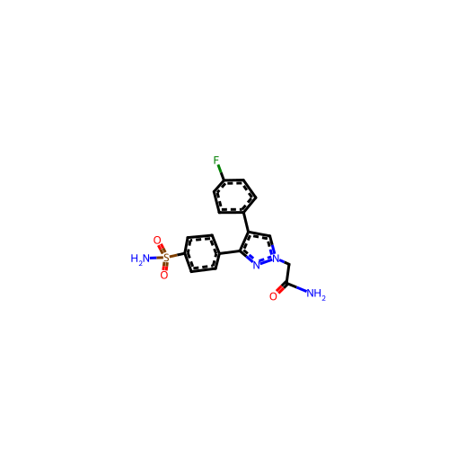 NC(=O)Cn1cc(-c2ccc(F)cc2)c(-c2ccc(S(N)(=O)=O)cc2)n1